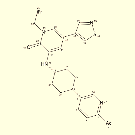 CC(=O)c1ccc([C@H]2CC[C@@H](Nc3cc(-c4cnsc4)cn(CC(C)C)c3=O)CC2)cn1